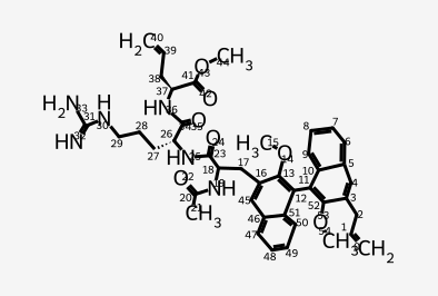 C=CCc1cc2ccccc2c(-c2c(OC)c(CC(NC(C)=O)C(=O)N[C@H](CCCNC(=N)N)C(=O)N[C@@H](CC=C)C(=O)OC)cc3ccccc23)c1OC